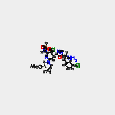 COCCN(CC1CC1C)c1cc(-c2nnc(C(C)(N)Cc3cccc(Cl)c3)o2)c(Cl)c(N(C)S(C)(=O)=O)n1